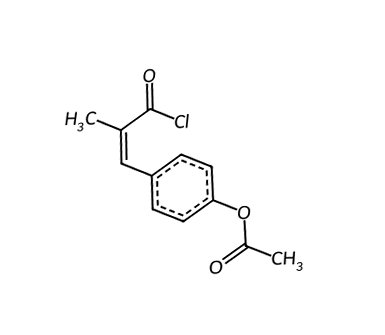 CC(=O)Oc1ccc(C=C(C)C(=O)Cl)cc1